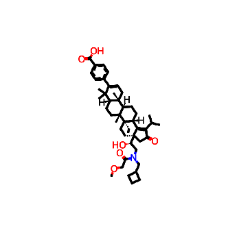 CC[C@@]12CC[C@@]3([C@@H](O)CN(CC4CCC4)C(=O)COC)CC(=O)C(C(C)C)=C3[C@H]1CC[C@@H]1[C@@]3(C)CC=C(c4ccc(C(=O)O)cc4)C(C)(C)[C@H]3CC[C@]12C